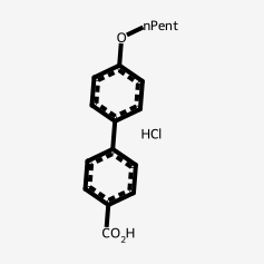 CCCCCOc1ccc(-c2ccc(C(=O)O)cc2)cc1.Cl